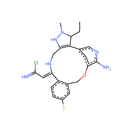 CCC1C2=C(CN/C(=C\C(=N)Cl)c3ccc(F)cc3COc3cc2cnc3N)NN1C